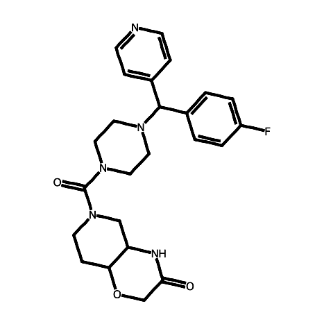 O=C1COC2CCN(C(=O)N3CCN(C(c4ccncc4)c4ccc(F)cc4)CC3)CC2N1